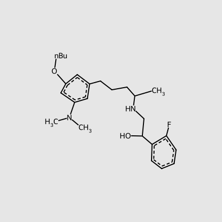 CCCCOc1cc(CCCC(C)NCC(O)c2ccccc2F)cc(N(C)C)c1